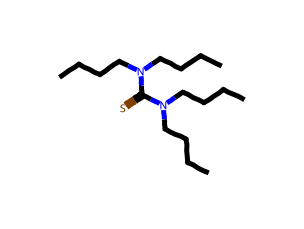 CCCCN(CCCC)C(=S)N(CCCC)CCCC